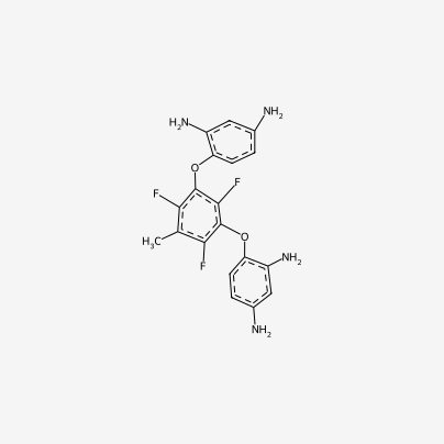 Cc1c(F)c(Oc2ccc(N)cc2N)c(F)c(Oc2ccc(N)cc2N)c1F